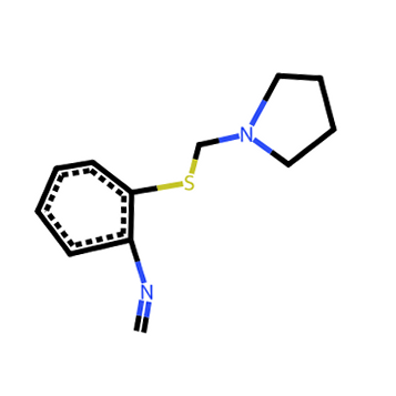 C=Nc1ccccc1SCN1CCCC1